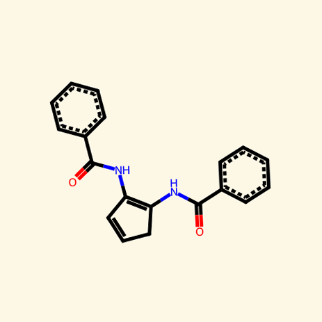 O=C(NC1=C(NC(=O)c2ccccc2)CC=C1)c1ccccc1